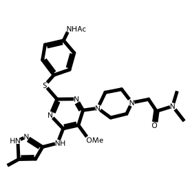 COc1c(Nc2cc(C)[nH]n2)nc(Sc2ccc(NC(C)=O)cc2)nc1N1CCN(CC(=O)N(C)C)CC1